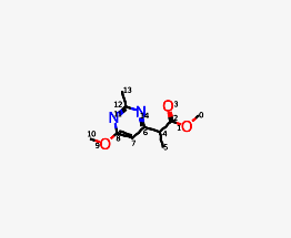 COC(=O)C(C)c1cc(OC)nc(C)n1